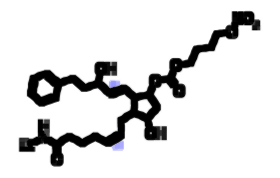 CCNC(=O)CCC/C=C\CC1C(O)CC(OC(=O)OCCCCO[N+](=O)[O-])C1/C=C/C(O)CCc1ccccc1